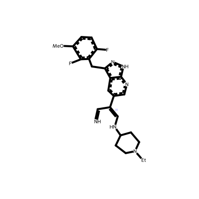 CCN1CCC(N/C=C(\C=N)c2cnc3[nH]nc(Cc4c(F)ccc(OC)c4F)c3c2)CC1